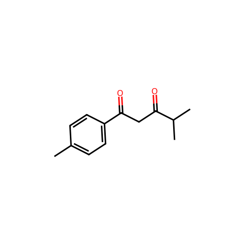 Cc1ccc(C(=O)CC(=O)C(C)C)cc1